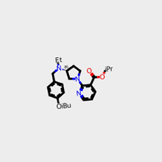 CCN(Cc1ccc(OCC(C)C)cc1)[C@@H]1CCN(c2ncccc2C(=O)OC(C)C)C1